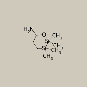 C[Si]1(C)CCC(N)O[Si]1(C)C